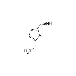 N=Cc1ccc(CN)o1